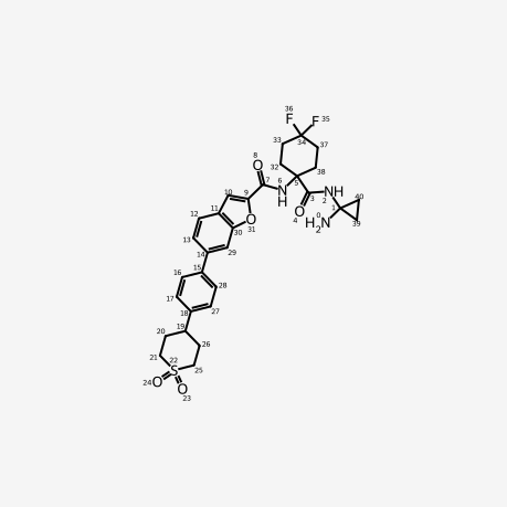 NC1(NC(=O)C2(NC(=O)c3cc4ccc(-c5ccc(C6CCS(=O)(=O)CC6)cc5)cc4o3)CCC(F)(F)CC2)CC1